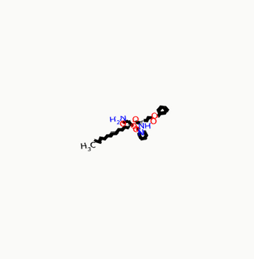 CCCCCCCCCCCCC[C@@H](CC(N)=O)OC(=O)[C@H](CCCC(=O)OCc1ccccc1)NC(=O)N1CCCCC1